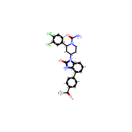 NC(=O)N1CCC(n2c(=O)[nH]c3c(-c4ccc(C(=O)C(F)(F)F)cc4)cccc32)CC1c1ccc(Cl)c(Cl)c1